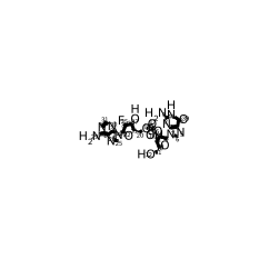 Nc1nc2c(ncn2[C@@H]2O[C@H](CO)CC2OP(=O)(O)OC[C@H]2O[C@@H](n3cnc4c(N)ncnc43)C(F)C2O)c(=O)[nH]1